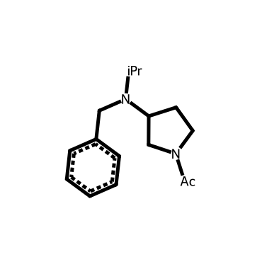 CC(=O)N1CCC(N(Cc2ccccc2)C(C)C)C1